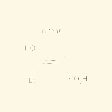 CCCCCCC(C(=O)O)=C(O)CC